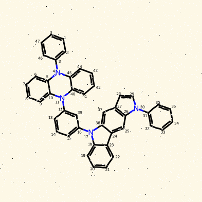 c1ccc(N2c3ccccc3N(c3cccc(-n4c5ccccc5c5cc6c(ccn6-c6ccccc6)cc54)c3)c3ccccc32)cc1